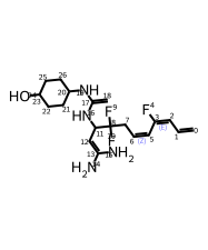 C=C/C=C(F)\C=C/CC(F)(F)C(C=C(N)N)NC(=C)NC1CCC(O)CC1